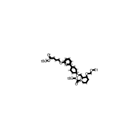 CCOCOC1CCCN(C(=O)OC(C)(C)C)C1COC1CCC(c2cccc(OCCCC(=O)OC(C)(C)C)n2)CC1